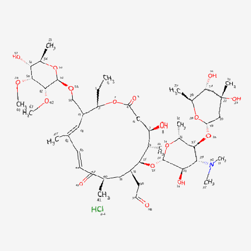 CC[C@H]1OC(=O)C[C@@H](O)[C@H](C)[C@@H](O[C@@H]2O[C@H](C)[C@@H](O[C@H]3C[C@@](C)(O)[C@@H](O)[C@H](C)O3)[C@H](N(C)C)[C@H]2O)[C@@H](CC=O)C[C@@H](C)C(=O)/C=C/C(C)=C/C1CO[C@@H]1O[C@H](C)[C@@H](O)[C@@H](OC)[C@H]1OC.Cl